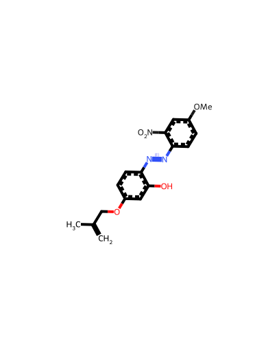 C=C(C)COc1ccc(/N=N/c2ccc(OC)cc2[N+](=O)[O-])c(O)c1